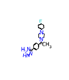 C[C@H](c1ccc([C@H](N)N=N)cc1)N1CCN(c2ccc(F)cc2)CC1